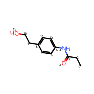 CCC(=O)Nc1ccc(CCO)cc1